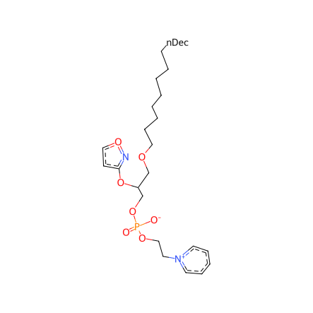 CCCCCCCCCCCCCCCCCCOCC(COP(=O)([O-])OCC[n+]1ccccc1)Oc1ccon1